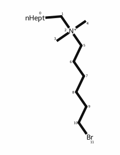 CCCCCCCC[N+](C)(C)CCCCCCBr